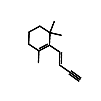 C#CC=CC1=C(C)CCCC1(C)C